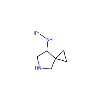 CC(C)NC1CNCC12CC2